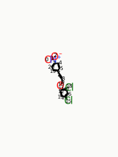 O=[N+]([O-])c1ccc(C#CCOc2ccc(Cl)cc2Cl)cc1